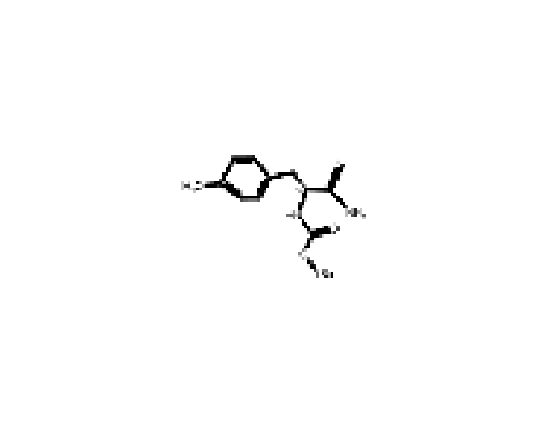 Cc1ccc(C[C@H](NC(=O)OC(C)(C)C)C(N)=O)cc1